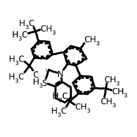 Cc1cc(-c2cc(C(C)(C)C)cc(C(C)(C)C)c2)c(N2[C]SC3=C2CCCC3)c(-c2cc(C(C)(C)C)cc(C(C)(C)C)c2)c1